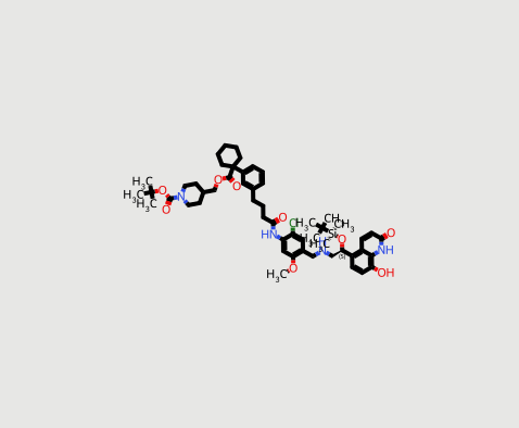 COc1cc(NC(=O)CCCc2cccc(C3(C(=O)OCC4CCN(C(=O)OC(C)(C)C)CC4)CCCCC3)c2)c(Cl)cc1CNC[C@@H](O[Si](C)(C)C(C)(C)C)c1ccc(O)c2[nH]c(=O)ccc12